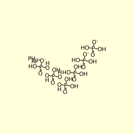 O=P(O)(O)O.O=P(O)(O)O.O=P(O)(O)O.O=P([O-])(O)O.O=P([O-])(O)O.O=P([O-])(O)O.P.[Al+3]